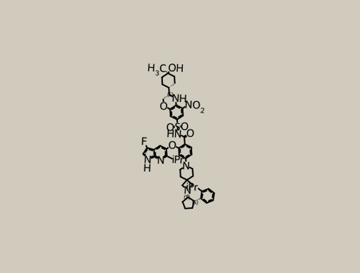 CC(C)c1ccccc1[C@@H]1CCC[C@@H]1N1CC2(CCN(c3ccc(C(=O)NS(=O)(=O)c4cc5c(c([N+](=O)[O-])c4)N[C@@H]([C@H]4CC[C@](C)(O)CC4)CO5)c(Oc4cc5c(F)c[nH]c5nc4C(C)C)c3)CC2)C1